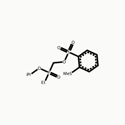 CCP(=O)(COS(=O)(=O)c1ccccc1SC)OC(C)C